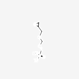 O=P(O)(O)OOCOCC1CO1